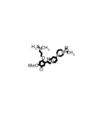 COc1cc(OCCCN(C)C)c(-c2cn3ccc(N4CCCN([S+](C)[O-])CC4)cc3n2)cc1Cl